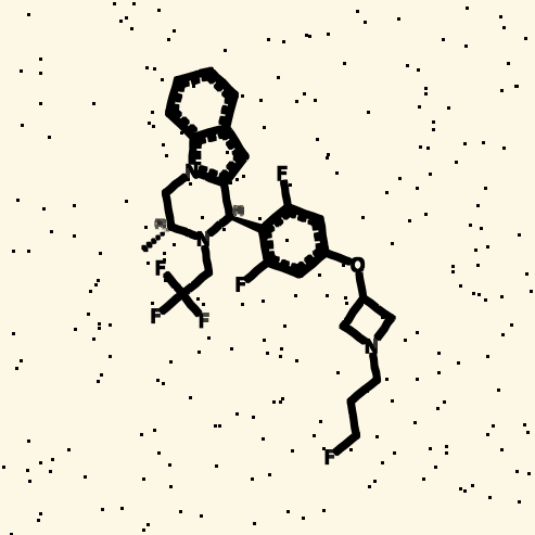 C[C@@H]1Cn2c(cc3ccccc32)[C@@H](c2c(F)cc(OC3CN(CCCF)C3)cc2F)N1CC(F)(F)F